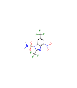 CN(C)S(=O)(=O)n1c(C(F)(F)F)nc2c([N+](=O)[O-])cc(C(F)(F)F)cc21